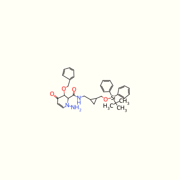 CC(C)(C)[Si](OCC1CC1CNC(=O)C1C(OCc2ccccc2)C(=O)C=CN1N)(c1ccccc1)c1ccccc1